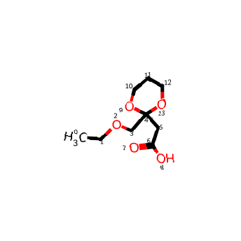 CCOCC1(CC(=O)O)OCCCO1